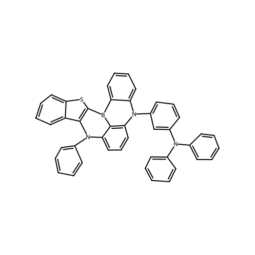 c1ccc(N(c2ccccc2)c2cccc(N3c4ccccc4B4c5sc6ccccc6c5N(c5ccccc5)c5cccc3c54)c2)cc1